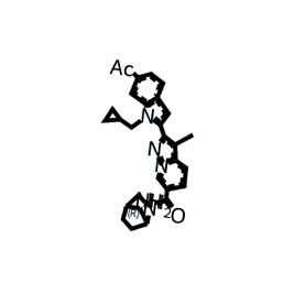 CC(=O)c1ccc2cc(-c3nn4cc(C(=O)N5CC6CCC5[C@@H]6N)ccc4c3C)n(CC3CC3)c2c1